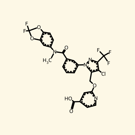 CN(C(=O)c1cccc(-n2nc(C(F)(F)F)c(Cl)c2COc2cc(C(=O)O)ccn2)c1)c1ccc2c(c1)OC(F)(F)O2